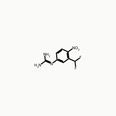 NC(N)=Nc1ccc([N+](=O)[O-])c(C(F)F)c1